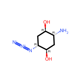 [N-]=[N+]=N[C@@H]1C[C@@H](O)[C@H](N)C[C@H]1O